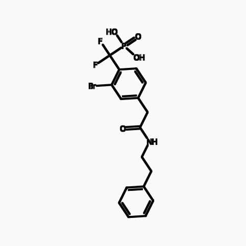 O=C(Cc1ccc(C(F)(F)P(=O)(O)O)c(Br)c1)NCCc1ccccc1